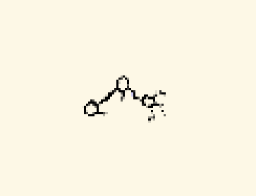 COc1cc(/C=C/C2CCC=C(C#Cc3ccccc3F)C2=O)cc(OC)c1OC